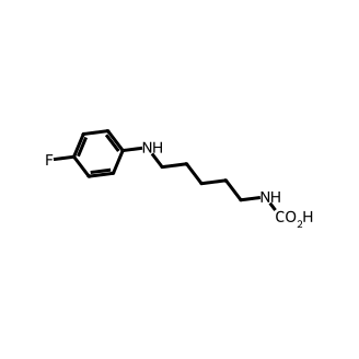 O=C(O)NCCCCCNc1ccc(F)cc1